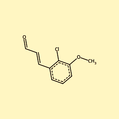 COc1cccc(C=CC=O)c1Cl